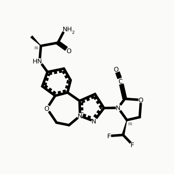 C[C@H](Nc1ccc2c(c1)OCCn1nc(N3C(=C=O)OC[C@H]3C(F)F)cc1-2)C(N)=O